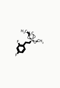 CCO[Si](CCc1ccc(F)cc1F)(OC)OC